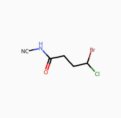 N#CNC(=O)CCC(Cl)Br